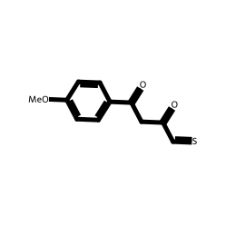 COc1ccc(C(=O)CC(=O)C=S)cc1